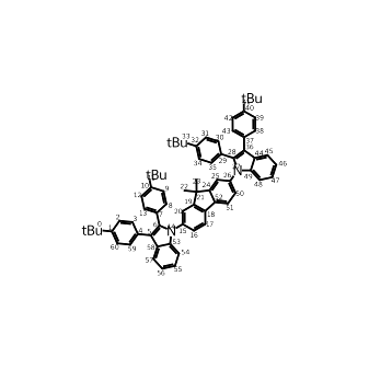 CC(C)(C)c1ccc(-c2c(-c3ccc(C(C)(C)C)cc3)n(-c3ccc4c(c3)C(C)(C)c3cc(-n5c(-c6ccc(C(C)(C)C)cc6)c(-c6ccc(C(C)(C)C)cc6)c6ccccc65)ccc3-4)c3ccccc23)cc1